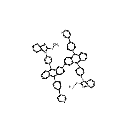 CCc1nc2ccccc2n1-c1ccc(-c2c3ccccc3c(-c3ccc(-c4ccncc4)cc3)c3ccc(-c4ccc5c(-c6ccc(-c7cccnc7)cc6)c6ccccc6c(-c6ccc(-n7c(CC)nc8ccccc87)cc6)c5c4)cc23)cc1